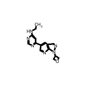 CCNc1cc(-c2cnc3c(cnn3C3COC3)c2)ncn1